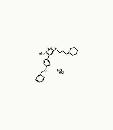 CCCCc1nnc(OCCCN2CCCCC2)cc1-c1ccc(OCc2ccccc2)cc1.Cl.Cl